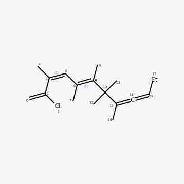 C=C(Cl)/C(C)=C\C(C)=C(/C)C(C)(C)C(C)=C=CCC